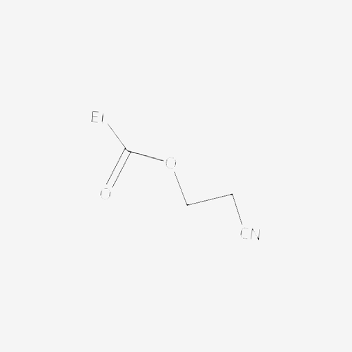 [CH2]CC(=O)OCCC#N